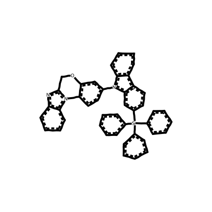 c1ccc([Si](c2ccccc2)(c2ccccc2)c2ccc3c4ccccc4n(-c4ccc5c(c4)OCc4nc6ccccc6n4-5)c3c2)cc1